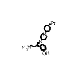 CC(C)C1CCC(N2CCC(n3cc(CCN)c4cc(O)ccc43)CC2)CC1